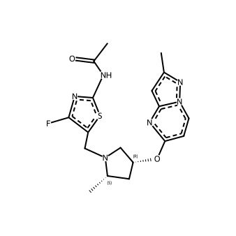 CC(=O)Nc1nc(F)c(CN2C[C@H](Oc3ccn4nc(C)cc4n3)C[C@@H]2C)s1